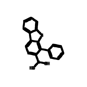 OB(O)c1ccc2c(sc3ccccc32)c1-c1ccccc1